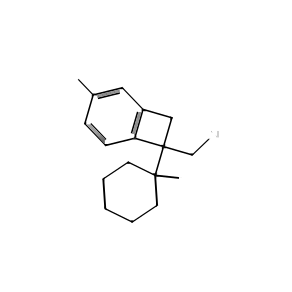 NCC1(C2(O)CCCCC2)Cc2cc(O)ccc21